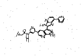 CN(C)CC(=O)Nc1cncc(-c2cnc3[nH]nc(-c4nc5c(-c6cccnc6)ccnc5[nH]4)c3c2)c1